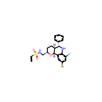 C=CS(=O)(=O)NC[C@H]1CC[C@@H]2[C@H](O1)c1cc(Br)cc(F)c1N[C@H]2c1ccccc1